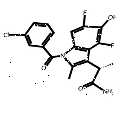 Cc1c([C@H](C)C(N)=O)c2c(F)c(O)c(F)cc2n1C(=O)c1cccc(Cl)c1